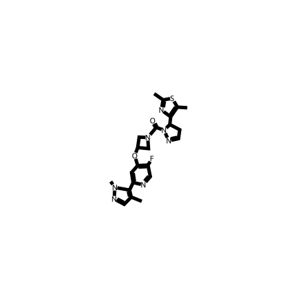 Cc1nc(C2CC=NN2C(=O)N2CC(Oc3cc(-c4c(C)cnn4C)ncc3F)C2)c(C)s1